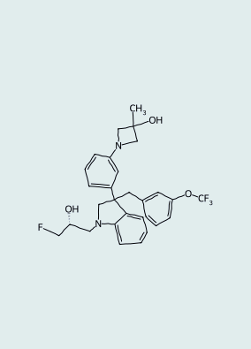 CC1(O)CN(c2cccc(C3(Cc4cccc(OC(F)(F)F)c4)CN(C[C@@H](O)CF)c4ccccc43)c2)C1